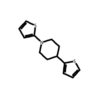 c1csc(C2CCN(c3cccs3)CC2)c1